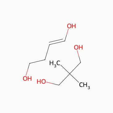 CC(C)(CO)CO.O/C=C/CCO